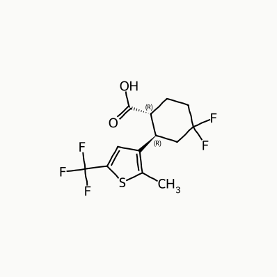 Cc1sc(C(F)(F)F)cc1[C@@H]1CC(F)(F)CC[C@H]1C(=O)O